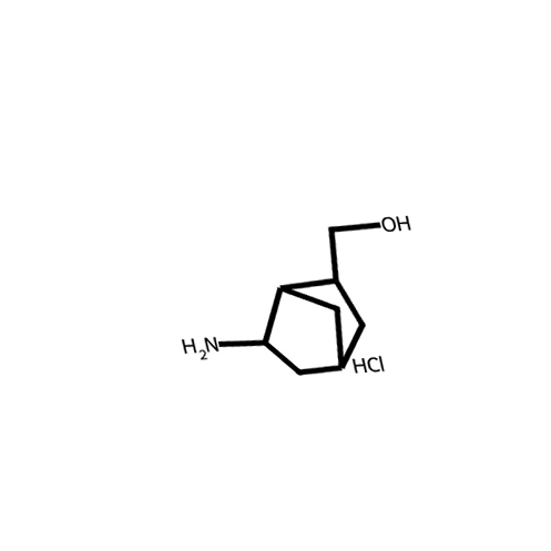 Cl.NC1CC2CC(CO)C1C2